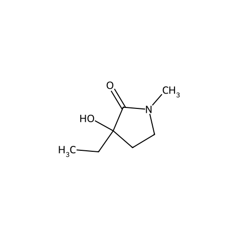 CCC1(O)CCN(C)C1=O